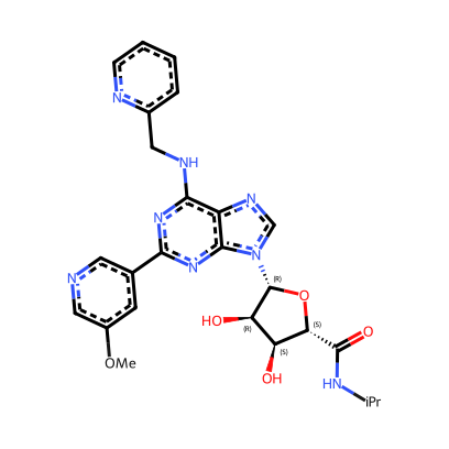 COc1cncc(-c2nc(NCc3ccccn3)c3ncn([C@@H]4O[C@H](C(=O)NC(C)C)[C@@H](O)[C@H]4O)c3n2)c1